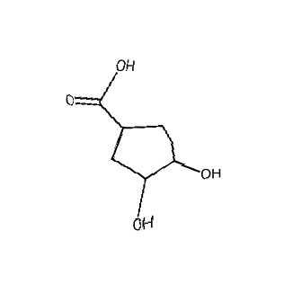 O=C(O)C1CC(O)C(O)C1